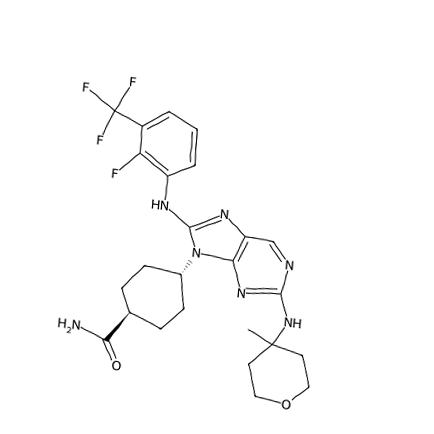 CC1(Nc2ncc3nc(Nc4cccc(C(F)(F)F)c4F)n([C@H]4CC[C@H](C(N)=O)CC4)c3n2)CCOCC1